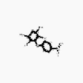 O=[N+]([O-])c1ccc(Sc2c(F)c(F)cc(F)c2F)cc1